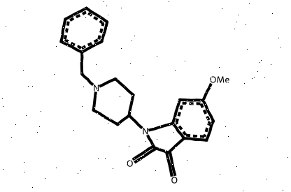 COc1ccc2c(c1)N(C1CCN(Cc3ccccc3)CC1)C(=O)C2=O